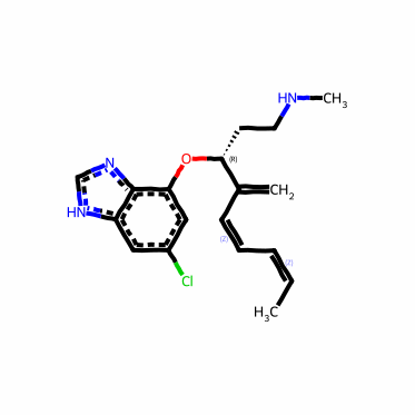 C=C(/C=C\C=C/C)[C@@H](CCNC)Oc1cc(Cl)cc2[nH]cnc12